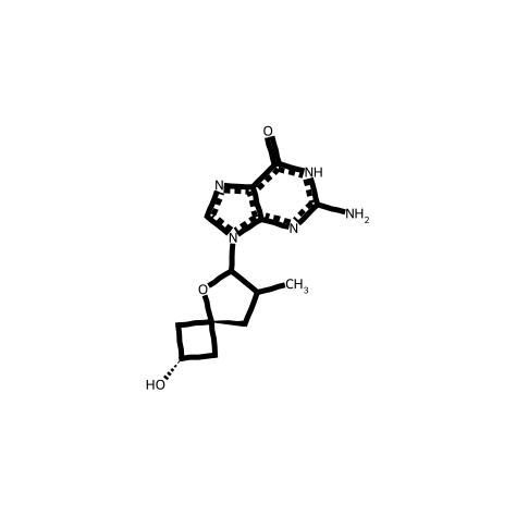 CC1C[C@]2(C[C@H](O)C2)OC1n1cnc2c(=O)[nH]c(N)nc21